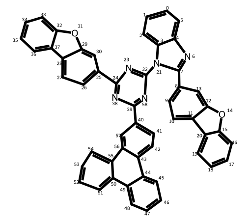 c1ccc2c(c1)nc(-c1ccc3c(c1)oc1ccccc13)n2-c1nc(-c2ccc3c(c2)oc2ccccc23)nc(-c2ccc3c4ccccc4c4ccccc4c3c2)n1